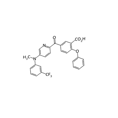 CN(c1ccc(C(=O)c2ccc(Oc3ccccc3)c(C(=O)O)c2)nc1)c1cccc(C(F)(F)F)c1